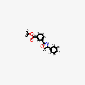 CC(C)OC(=O)c1cccc(C2=NC(c3ccccc3)CO2)c1